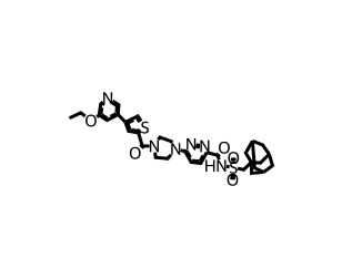 CCOc1cncc(-c2csc(C(=O)N3CCN(c4ccc(C(=O)NS(=O)(=O)CC56CC7CC(CC(C7)C5)C6)nn4)CC3)c2)c1